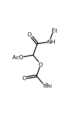 CCNC(=O)C(OC(C)=O)OC(=O)C(C)(C)C